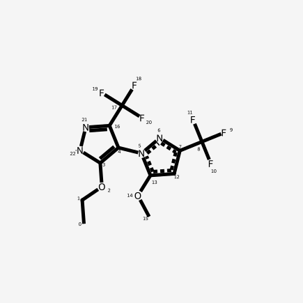 CCOC1=C(n2nc(C(F)(F)F)cc2OC)C(C(F)(F)F)=N[N]1